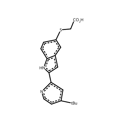 CC(C)(C)c1ccnc(-c2cc3cc(SCC(=O)O)ccc3[nH]2)c1